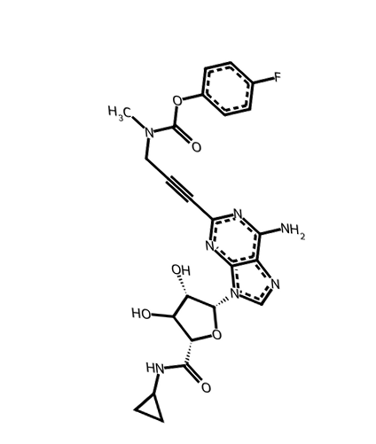 CN(CC#Cc1nc(N)c2ncn([C@@H]3O[C@H](C(=O)NC4CC4)C(O)[C@@H]3O)c2n1)C(=O)Oc1ccc(F)cc1